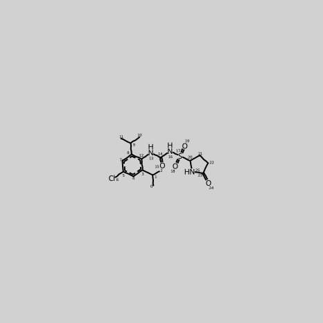 CC(C)c1cc(Cl)cc(C(C)C)c1NC(=O)NS(=O)(=O)C1CCC(=O)N1